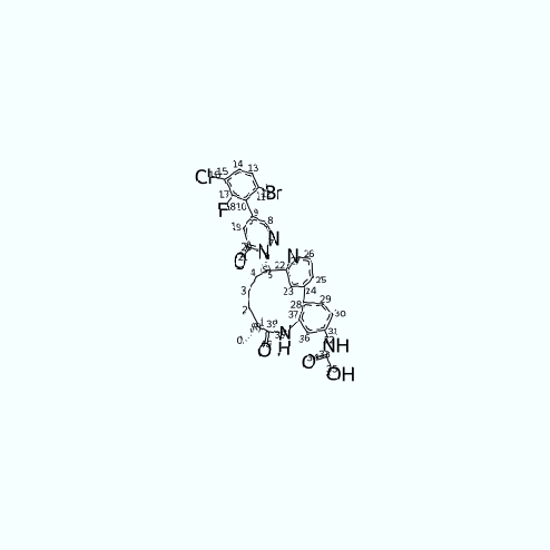 C[C@@H]1CCC[C@H](n2ncc(-c3c(Br)ccc(Cl)c3F)cc2=O)c2cc(ccn2)-c2ccc(NC(=O)O)cc2NC1=O